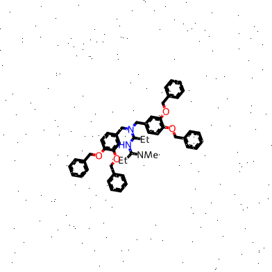 CCC([N]C)NC(CC)N(Cc1ccc(OCc2ccccc2)c(OCc2ccccc2)c1)Cc1ccc(OCc2ccccc2)c(OCc2ccccc2)c1